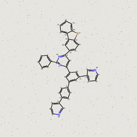 c1ccc(-c2nc(-c3cc(-c4ccc(-c5cccnc5)cc4)cc(-c4cccnc4)c3)cc(-c3ccc4sc5ccccc5c4c3)n2)cc1